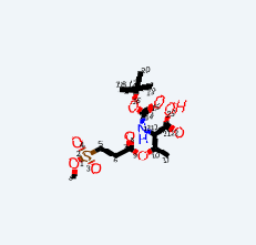 COS(=O)(=O)CCC(=O)OC(C)C(NC(=O)OC(C)(C)C)C(=O)O